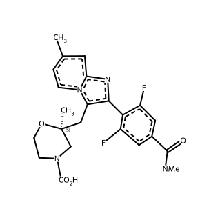 CNC(=O)c1cc(F)c(-c2nc3cc(C)ccn3c2C[C@@]2(C)CN(C(=O)O)CCO2)c(F)c1